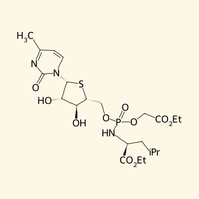 CCOC(=O)COP(=O)(N[C@@H](CC(C)C)C(=O)OCC)OC[C@H]1S[C@@H](n2ccc(C)nc2=O)[C@@H](O)[C@@H]1O